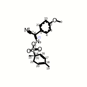 COc1ccc(/C(C#N)=N/OS(=O)(=O)[C@]2(C)C=CC(C)=CC2)cc1